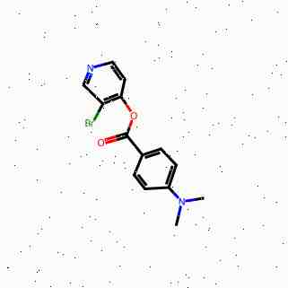 CN(C)c1ccc(C(=O)Oc2c[c]ncc2Br)cc1